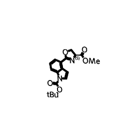 COC(=O)[C@@H]1COC(c2cccc3c2ccn3C(=O)OC(C)(C)C)=N1